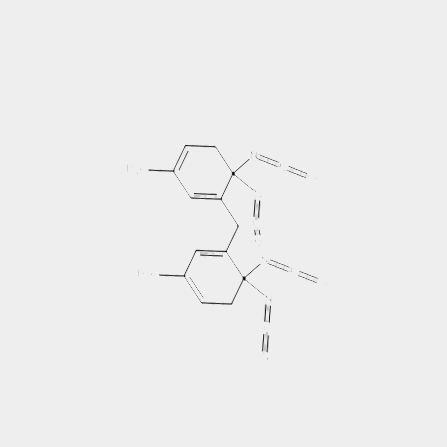 CC1=CCC(N=C=O)(N=C=O)C(CC2=CC(C)=CCC2(N=C=O)N=C=O)=C1